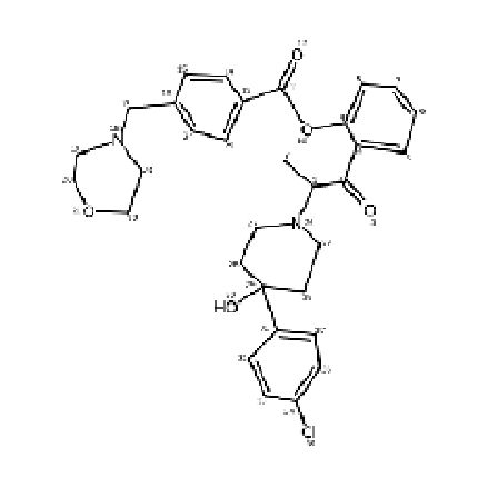 CC(C(=O)c1ccccc1OC(=O)c1ccc(CN2CCOCC2)cc1)N1CCC(O)(c2ccc(Cl)cc2)CC1